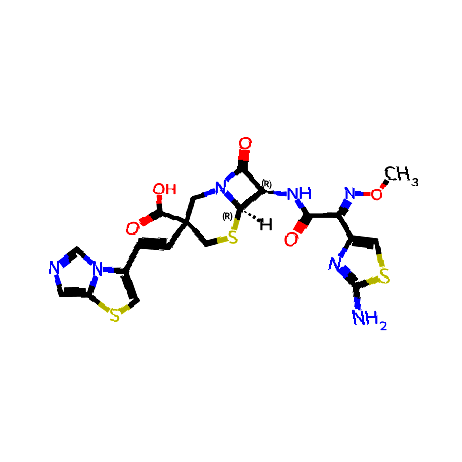 CON=C(C(=O)N[C@@H]1C(=O)N2CC(C=Cc3csc4cncn34)(C(=O)O)CS[C@H]12)c1csc(N)n1